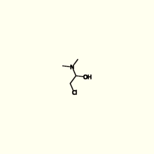 CN(C)C(O)CCl